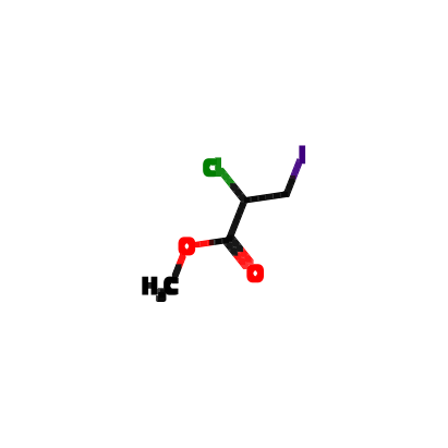 COC(=O)C(Cl)CI